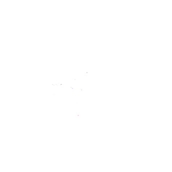 CNC(=O)c1nn(C2C=CC=CC2(C)S(=O)(=O)c2cccc(Cl)c2)cc(O)c1=O